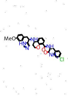 COc1ccc(CC(NC2CCOc3c(C(=O)N[C@@H](Cc4ccc(Cl)cc4)C(N)=O)cccc32)c2cnc[nH]2)cc1